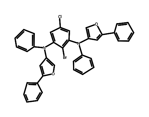 Clc1cc(N(c2ccccc2)c2coc(-c3ccccc3)c2)c(Br)c(N(c2ccccc2)c2coc(-c3ccccc3)c2)c1